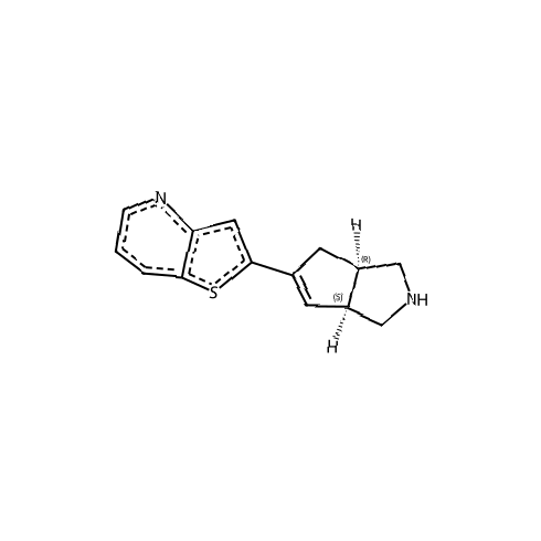 C1=C(c2cc3ncccc3s2)C[C@H]2CNC[C@@H]12